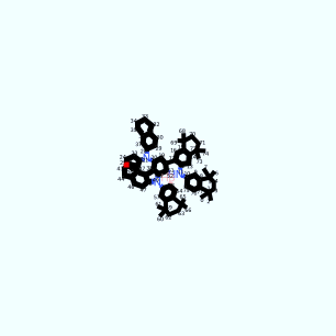 CC1(C)CCC(C)(C)c2cc(Nc3cc4c(cc3-c3cc(N(c5ccccc5)c5ccc6ccccc6c5)c5c6c7ccccc7ccc6n6c5c3Bc3cc5c(cc3-6)C(C)(C)CCC5(C)C)C(C)(C)CCC4(C)C)ccc21